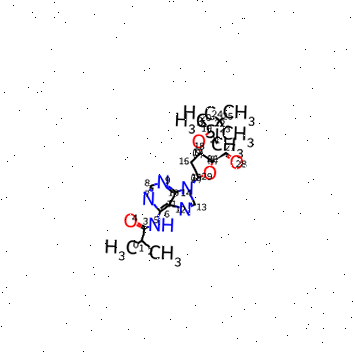 CC(C)C(=O)Nc1ncnc2c1ncn2[C@H]1C[C@H](O[Si](C)(C)C(C)(C)C)[C@@H](C=O)O1